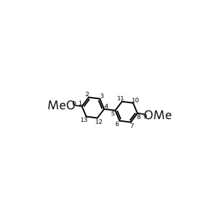 COC1=CC=C(C2=CC=C(OC)CC2)CC1